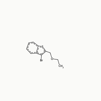 CCOCc1sc2ccccc2c1Br